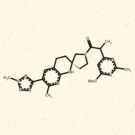 COc1cc(C(C)C(=O)N2CC[C@]3(CCc4cc(-c5nnn(C)n5)c(C)nc4N3)C2)nc(C)n1